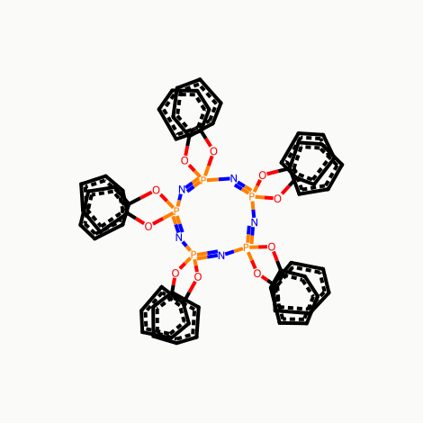 c1ccc(OP2(Oc3ccccc3)=NP(Oc3ccccc3)(Oc3ccccc3)=NP(Oc3ccccc3)(Oc3ccccc3)=NP(Oc3ccccc3)(Oc3ccccc3)=NP(Oc3ccccc3)(Oc3ccccc3)=N2)cc1